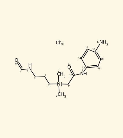 C[N+](C)(CCCNC=O)CC(=O)Nc1ccc(N)cc1.[Cl-]